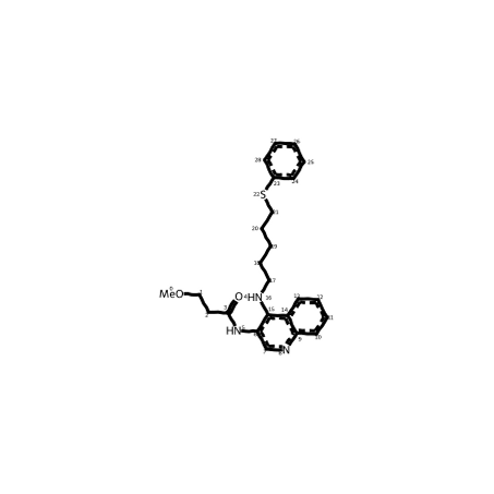 COCCC(=O)Nc1cnc2ccccc2c1NCCCCCSc1ccccc1